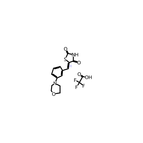 O=C(O)C(F)(F)F.O=C1NC(=O)/C(=C/c2cccc(N3CCOCC3)c2)S1